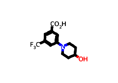 O=C(O)c1cc(N2CCC(O)CC2)cc(C(F)(F)F)c1